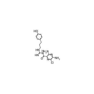 N=C(NCCCc1ccc(O)cc1)NC(=O)c1nc(Cl)c(N)nc1N